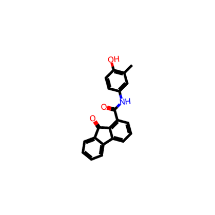 Cc1cc(NC(=O)c2cccc3c2C(=O)c2ccccc2-3)ccc1O